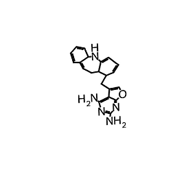 Nc1nc(N)c2c(CC3C=CC=C4NC5C=CC=CC5=CCC43)coc2n1